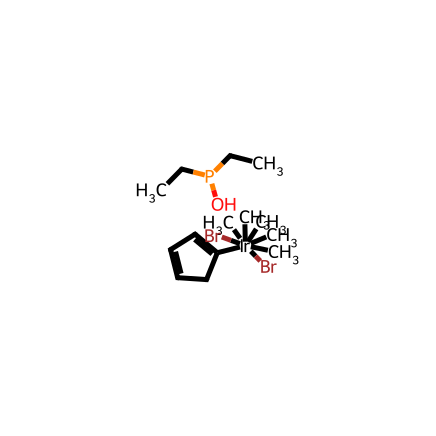 CCP(O)CC.[CH3][Ir]([CH3])([CH3])([CH3])([CH3])([Br])([Br])[C]1=CC=CC1